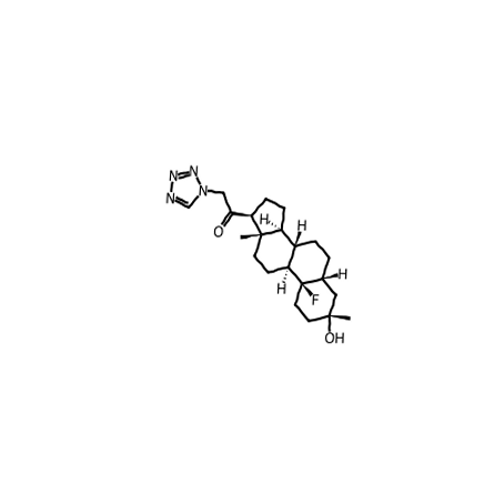 C[C@@]1(O)CC[C@@]2(F)[C@H](CC[C@H]3[C@@H]4CC[C@H](C(=O)Cn5cnnn5)[C@@]4(C)CC[C@@H]32)C1